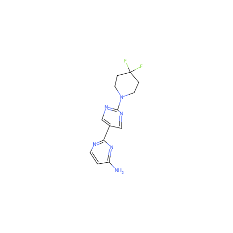 Nc1ccnc(-c2cnc(N3CCC(F)(F)CC3)nc2)n1